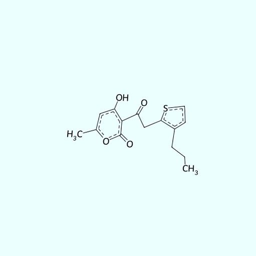 CCCc1ccsc1CC(=O)c1c(O)cc(C)oc1=O